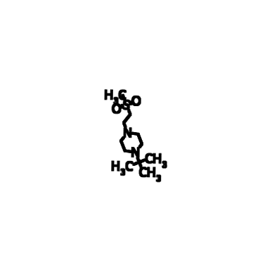 CC(C)(C)N1CCN(CCS(C)(=O)=O)CC1